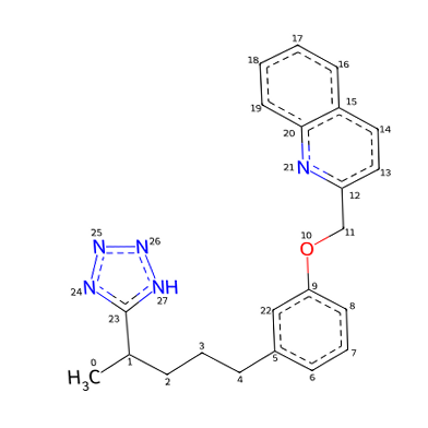 CC(CCCc1cccc(OCc2ccc3ccccc3n2)c1)c1nnn[nH]1